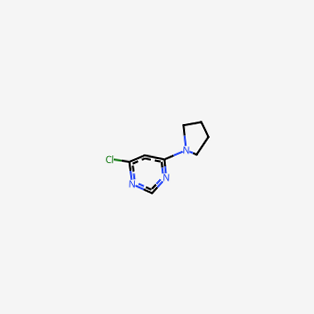 Clc1cc(N2CCCC2)ncn1